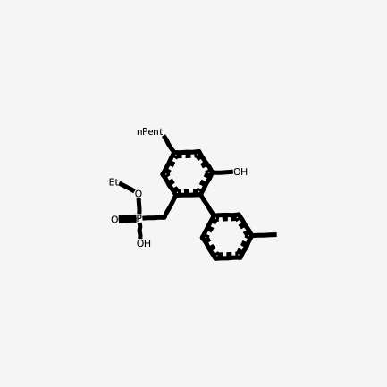 CCCCCc1cc(O)c(-c2cccc(C)c2)c(CP(=O)(O)OCC)c1